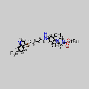 Cc1cc(NCCCCCCSc2ccnc3cc(C(F)(F)F)ccc23)cc(C)c1N1CCN(C(=O)OC(C)(C)C)CC1